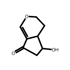 O=C1CC(O)C2CCOC=C12